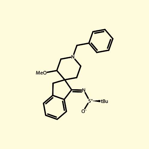 COC1CN(Cc2ccccc2)CCC12Cc1ccccc1/C2=N\[S@+]([O-])C(C)(C)C